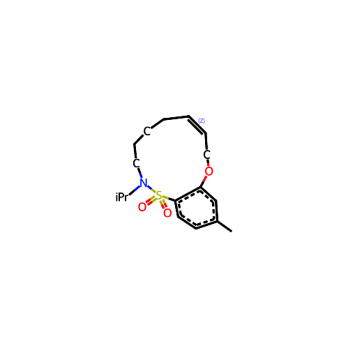 Cc1ccc2c(c1)OC/C=C\CCCCN(C(C)C)S2(=O)=O